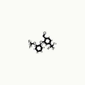 O=Cc1ccc(C(F)(F)F)cc1Oc1ccccc1OC(F)F